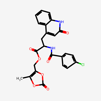 Cc1oc(=O)oc1COC(=O)C(Cc1cc(=O)[nH]c2ccccc12)NC(=O)c1ccc(Cl)cc1